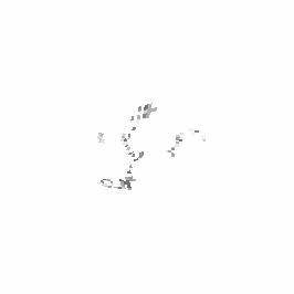 CC(O)C(CC(F)(F)F)[N+](=O)[O-]